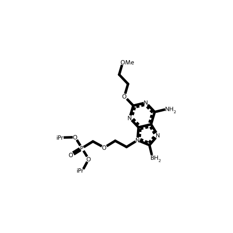 Bc1nc2c(N)nc(OCCOC)nc2n1CCOCP(=O)(OC(C)C)OC(C)C